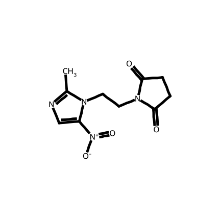 Cc1ncc([N+](=O)[O-])n1CCN1C(=O)CCC1=O